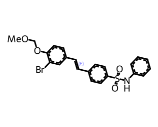 COCOc1ccc(/C=C/c2ccc(S(=O)(=O)Nc3ccccc3)cc2)cc1Br